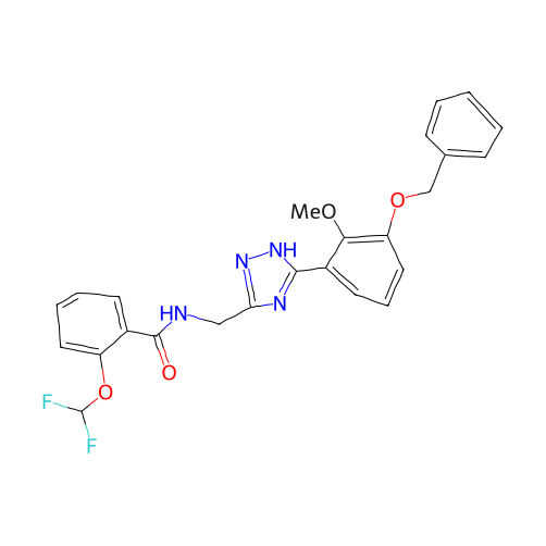 COc1c(OCc2ccccc2)cccc1-c1nc(CNC(=O)c2ccccc2OC(F)F)n[nH]1